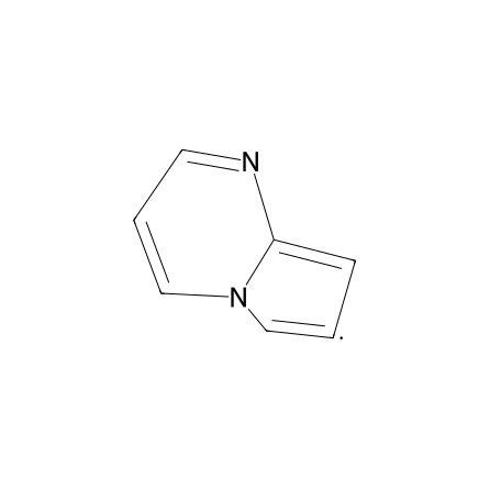 [c]1cc2ncccn2c1